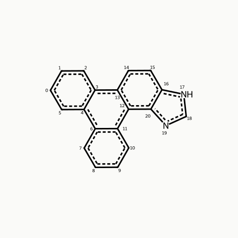 c1ccc2c(c1)c1ccccc1c1c2ccc2[nH]cnc21